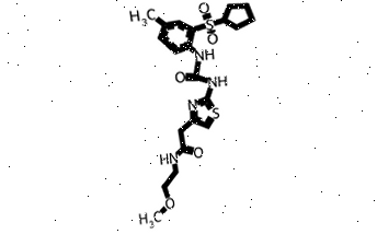 COCCNC(=O)Cc1csc(NC(=O)Nc2ccc(C)cc2S(=O)(=O)C2CCCC2)n1